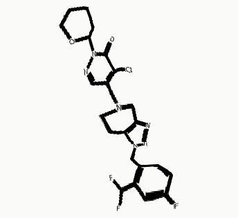 O=c1c(Cl)c(N2CCc3c(nnn3Cc3ccc(F)cc3C(F)F)C2)cnn1C1CCCCO1